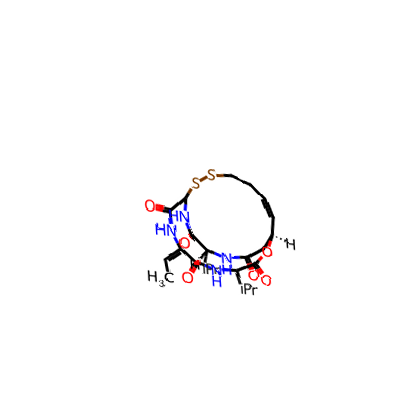 C/C=C1/NC(=O)C2NC(=O)[C@@H](C(C)C)NC(=O)C[C@@H](/C=C\CCSS2)OC(=O)C(C(C)C)NC1=O